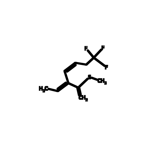 C=C(SC)C(/C=C\CC(F)(F)F)=C/C